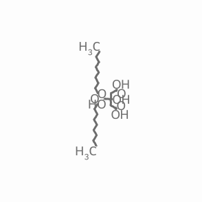 CCCCCCCCCCOCCCCCCCCCC.O=C(O)CC(O)(CC(=O)O)C(=O)O